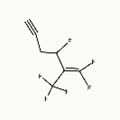 C#CCC(F)C(=C(F)F)C(F)(F)F